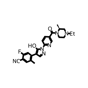 CCN1CCN(C(=O)c2ccc(-n3ncc(-c4cc(F)c(C#N)cc4C)c3O)nc2)[C@@H](C)C1